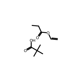 C=COC(=O)CC.CC(C)(C)C(=O)O